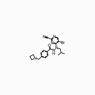 CC(C)CN(NC(=O)c1ccc(CN2CCC2)cc1)c1nc(C#N)ncc1Br